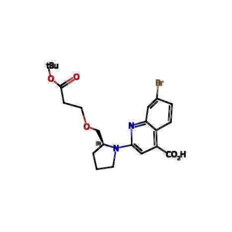 CC(C)(C)OC(=O)CCOC[C@@H]1CCCN1c1cc(C(=O)O)c2ccc(Br)cc2n1